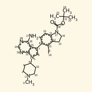 CN1CCC(n2cc(-c3ccc4c(c3F)CCN4C(=O)OC(C)(C)C)c3c(N)ncnc32)CC1